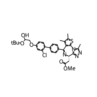 COC(=O)C[C@@H]1N=C(c2ccc(-c3ccc(OCC(O)OC(C)(C)C)cc3Cl)cc2)c2c(sc(C)c2C)-n2c(C)nnc21